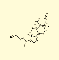 CCC(C)CCC[C@@H](C)C1CCC2C3=CC[C@H]4CC(=O)CC[C@]4(C)C3CC[C@@]21C